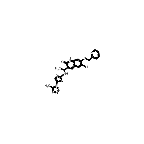 Cc1nnnn1-c1coc(NC(C)c2cc3cc(Cl)c(OCc4ccccn4)cc3[nH]c2=O)n1